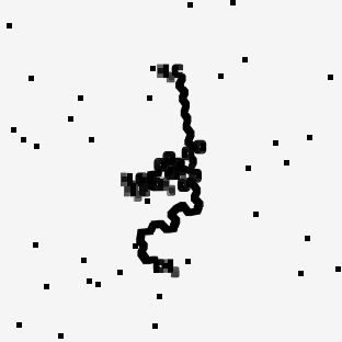 CC/C=C\C/C=C\C/C=C\C/C=C\C/C=C\C/C=C\CCC(=O)O[C@H](COC(=O)CCCCCCCCCCC)COP(=O)(O)OCC[N+](C)(C)C